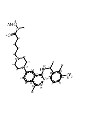 CON(C)C(=O)CCCCN1CCN(c2ccc3c(C)nnc(NC(C)c4cccc(C(F)(F)F)c4C)c3c2)CC1